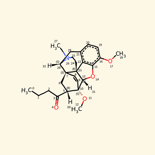 CCCC(=O)[C@@H]1C[C@]23C=C[C@@]1(OC)[C@H]1Oc4c(OC)ccc5c4[C@]12CCN(C)[C@H]3C5